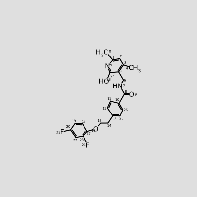 Cc1cc(C)c(CNC(=O)c2ccc(CCOc3ccc(F)cc3F)cc2)c(O)n1